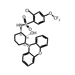 O=S(=O)(N[C@@H]1CCC[C@H](N2c3ccccc3Oc3ccccc32)[C@H]1O)c1ccc(OC(F)(F)F)cc1Cl